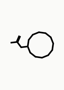 C=C(C)CC1CCCCCCCCCCC1